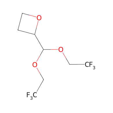 FC(F)(F)COC(OCC(F)(F)F)C1CCO1